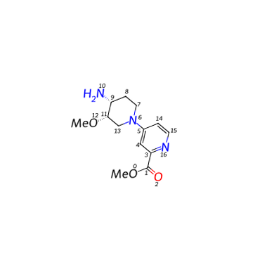 COC(=O)c1cc(N2CC[C@@H](N)[C@@H](OC)C2)ccn1